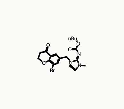 CCCCOC(=O)/N=c1/n(C)ccn1Cc1cc(Br)c2c(c1)C(=O)CCO2